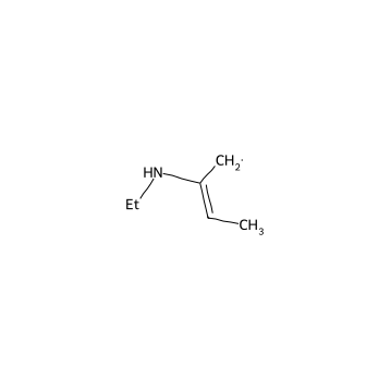 [CH2]C(=CC)NCC